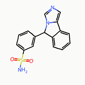 NS(=O)(=O)c1cccc(C2c3ccccc3-c3cncn32)c1